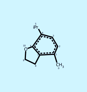 Cc1ccc(C(C)C)c2c1CCO2